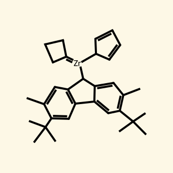 Cc1cc2c(cc1C(C)(C)C)-c1cc(C(C)(C)C)c(C)cc1[CH]2[Zr](=[C]1CCC1)[CH]1C=CC=C1